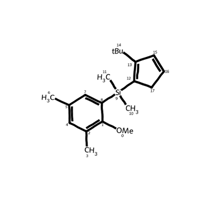 COc1c(C)cc(C)cc1[Si](C)(C)C1=C(C(C)(C)C)C=CC1